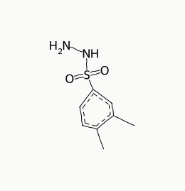 Cc1ccc(S(=O)(=O)NN)cc1C